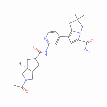 CC(=O)N1CC2CC(C(=O)Nc3cc(-c4cc(C(N)=O)n5c4CC(C)(C)C5)ccn3)C[C@@H]2C1